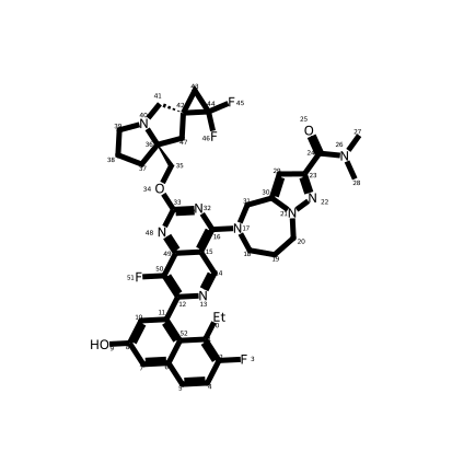 CCc1c(F)ccc2cc(O)cc(-c3ncc4c(N5CCCn6nc(C(=O)N(C)C)cc6C5)nc(OC[C@@]56CCCN5C[C@@]5(CC5(F)F)C6)nc4c3F)c12